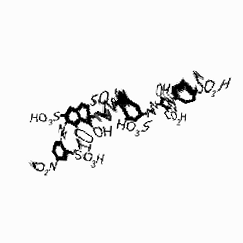 O=C(O)c1nn(-c2ccc(S(=O)(=O)O)cc2)c(O)c1/N=N/c1ccc(/N=N/c2c(S(=O)(=O)O)cc3cc(S(=O)(=O)O)c(/N=N/c4ccc([N+](=O)[O-])cc4S(=O)(=O)O)c(O)c3c2O)c(S(=O)(=O)O)c1